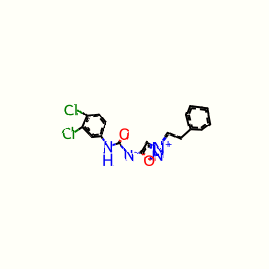 O=C([N-]c1c[n+](CCc2ccccc2)no1)Nc1ccc(Cl)c(Cl)c1